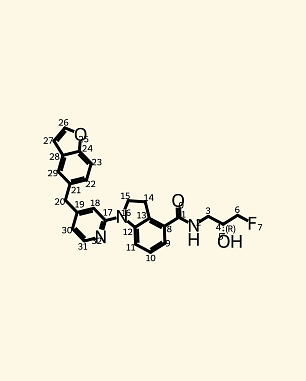 O=C(NC[C@@H](O)CF)c1cccc2c1CCN2c1cc(Cc2ccc3occc3c2)ccn1